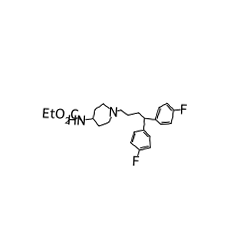 CCOC(=O)NC1CCN(CCCC(c2ccc(F)cc2)c2ccc(F)cc2)CC1